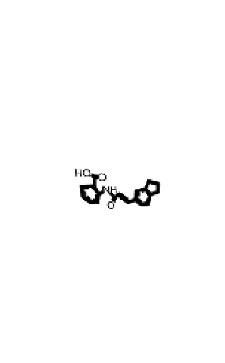 O=C(C=Cc1ccc2c(c1)CCC2)Nc1ccccc1C(=O)O